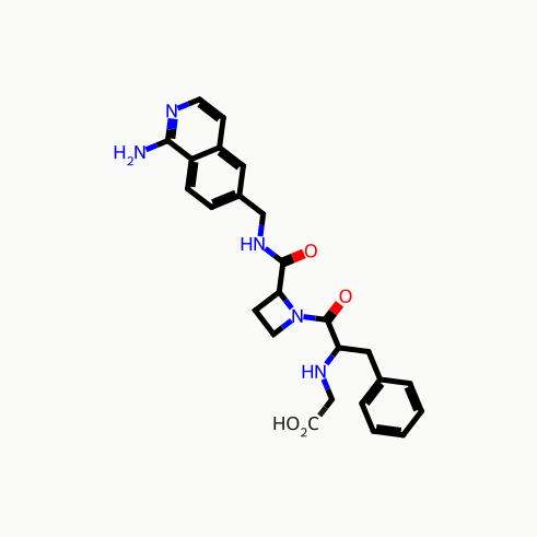 Nc1nccc2cc(CNC(=O)C3CCN3C(=O)C(Cc3ccccc3)NCC(=O)O)ccc12